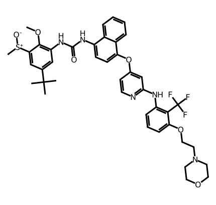 COc1c(NC(=O)Nc2ccc(Oc3ccnc(Nc4cccc(OCCN5CCOCC5)c4C(F)(F)F)c3)c3ccccc23)cc(C(C)(C)C)cc1[S+](C)[O-]